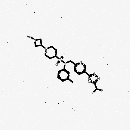 CC(=O)N1CC(N2CCC(S(=O)(=O)N(Cc3ccc(-c4nnc(C(F)F)o4)cn3)c3cccc(C)c3)CC2)C1